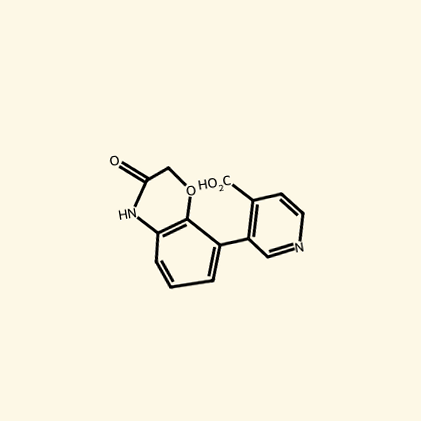 O=C1COc2c(cccc2-c2cnccc2C(=O)O)N1